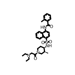 CCN(CC)CC(=O)N1CC[C@@H](NS(=O)(=O)c2ccc(NC(=O)c3ccccc3C)c3ccccc23)[C@@H](C)C1